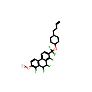 C=CCCC1CCC(OC(F)(F)c2ccc3c(c2F)C(F)C(F)c2c-3ccc(OCC)c2F)CC1